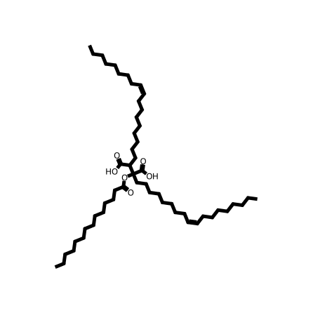 CCCCCCCC/C=C\CCCCCCCCC(C(=O)O)C(CCCCCCCC/C=C\CCCCCCCC)(OC(=O)CCCCCCCCCCCCC)C(=O)O